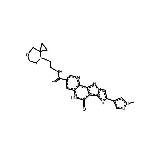 Cn1cc(-c2cn3nc4c5ncc(C(=O)NCCN6CCOCC67CC7)cc5[nH]c(=O)c4c3s2)cn1